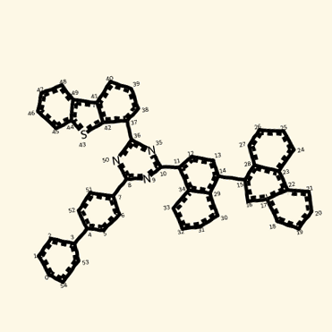 c1ccc(-c2ccc(-c3nc(-c4ccc(-c5cc6ccccc6c6ccccc56)c5ccccc45)nc(-c4cccc5c4sc4ccccc45)n3)cc2)cc1